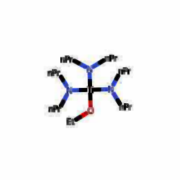 CCC[N](CCC)[Ti]([O]CC)([N](CCC)CCC)[N](CCC)CCC